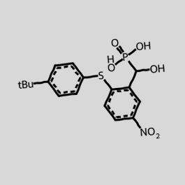 CC(C)(C)c1ccc(Sc2ccc([N+](=O)[O-])cc2C(O)P(=O)(O)O)cc1